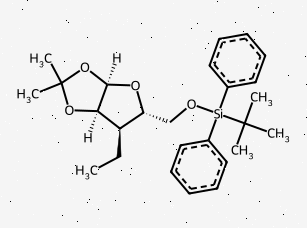 CC[C@H]1[C@H]2OC(C)(C)O[C@H]2O[C@@H]1CO[Si](c1ccccc1)(c1ccccc1)C(C)(C)C